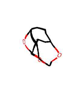 [CH]1C2CC3CC(O2)OC1O3